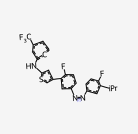 CC(C)c1cc(/N=N\c2ccc(F)c(-c3csc(Nc4cccc(C(F)(F)F)c4)c3)c2)ccc1F